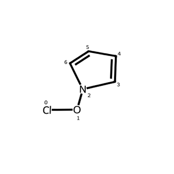 ClOn1cccc1